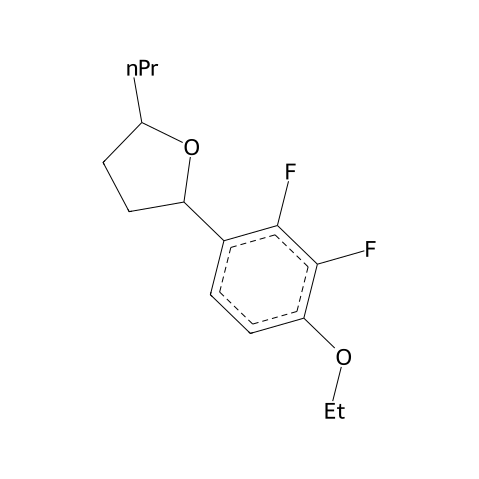 CCCC1CCC(c2ccc(OCC)c(F)c2F)O1